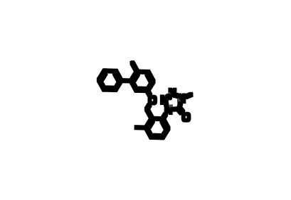 Cc1ccc(OCc2c(C)cccc2-n2nnn(C)c2=O)cc1-c1ccccc1